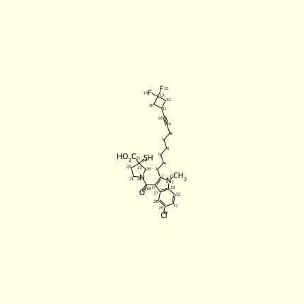 Cn1c(CCCCCCC#CC2CC(F)(F)C2)c(C(=O)N2CCC(S)(C(=O)O)C2)c2cc(Cl)ccc21